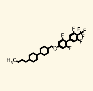 CCCCC1CCC(C2CCC(COc3cc(F)c(-c4cc(F)c(C(F)(F)F)c(F)c4)c(F)c3)CC2)CC1